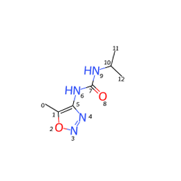 Cc1onnc1NC(=O)NC(C)C